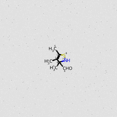 CC1=C(C)C(C)(C=O)NS1